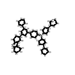 c1ccc(-c2ccc(N(c3ccc(-c4ccccc4)cc3)c3ccc(-c4cc(-c5ccccc5)cc(-c5ccc6sc7ccccc7c6c5)c4)cc3)cc2)cc1